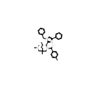 Cc1ccc(C(=O)N(CC(C)(C)CN(C)C)[C@@H](c2nc(-c3ccccc3)cn2Cc2ccccc2)C(C)C)cc1